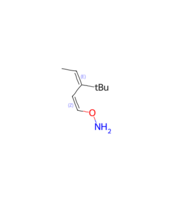 C/C=C(\C=C/ON)C(C)(C)C